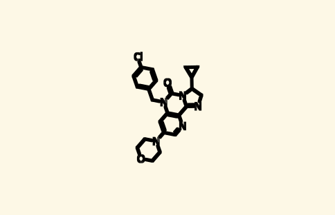 O=C1N(Cc2ccc(Cl)cc2)c2cc(N3CCOCC3)cnc2C2=NCC(C3CC3)N12